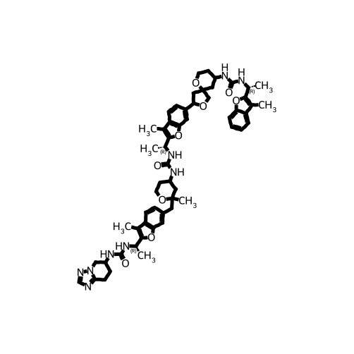 Cc1c([C@@H](C)NC(=O)NC2CCc3ncnn3C2)oc2cc(CC3(C)CC(NC(=O)N[C@H](C)c4oc5cc(C6CC7(CO6)CC(NC(=O)N[C@H](C)c6oc8ccccc8c6C)CCO7)ccc5c4C)CCO3)ccc12